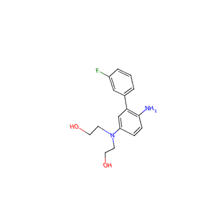 Nc1ccc(N(CCO)CCO)cc1-c1cccc(F)c1